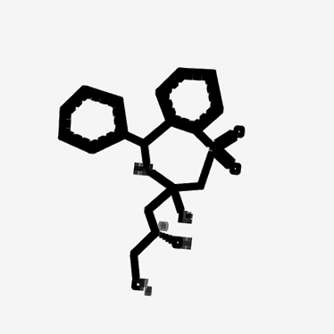 CCC1(C[C@H](O)CC(F)(F)F)CS(=O)(=O)c2ccccc2C(c2ccccc2)N1